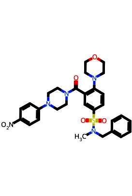 CN(Cc1ccccc1)S(=O)(=O)c1ccc(N2CCOCC2)c(C(=O)N2CCN(c3ccc([N+](=O)[O-])cc3)CC2)c1